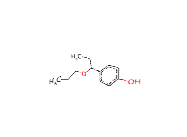 CCCOC(CC)c1ccc(O)cc1